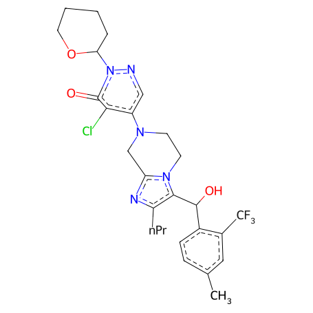 CCCc1nc2n(c1C(O)c1ccc(C)cc1C(F)(F)F)CCN(c1cnn(C3CCCCO3)c(=O)c1Cl)C2